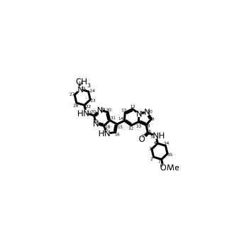 COC1CCC(NC(=O)c2cnn3ccc(-c4c[nH]c5nc(NC6CCN(C)CC6)ncc45)cc23)CC1